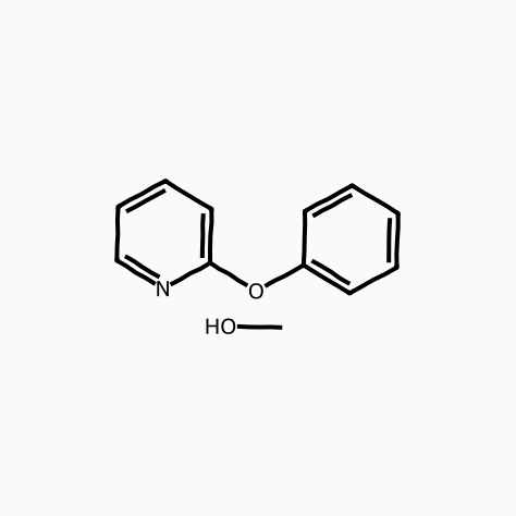 CO.c1ccc(Oc2ccccn2)cc1